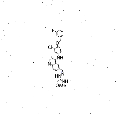 COCC(=N)N/N=C\c1ccc2ncnc(Nc3ccc(OCc4cccc(F)c4)c(Cl)c3)c2c1